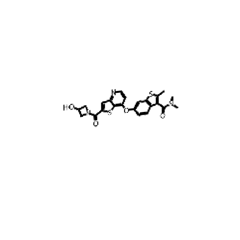 Cc1sc2cc(Oc3ccnc4cc(C(=O)N5CC(O)C5)sc34)ccc2c1C(=O)N(C)C